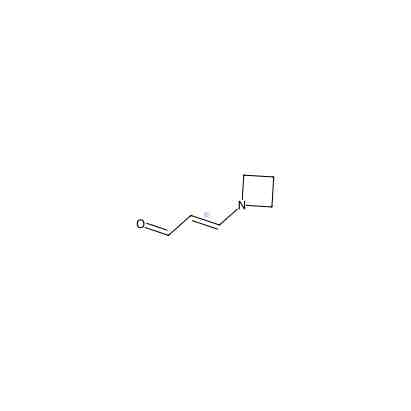 O=C/C=C/N1CCC1